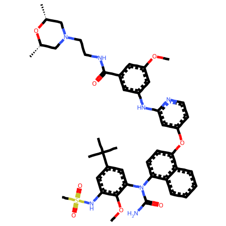 COc1cc(Nc2cc(Oc3ccc(N(C(N)=O)c4cc(C(C)(C)C)cc(NS(C)(=O)=O)c4OC)c4ccccc34)ccn2)cc(C(=O)NCCN2C[C@@H](C)O[C@@H](C)C2)c1